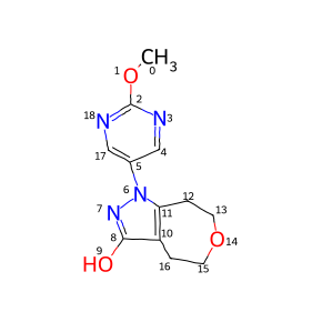 COc1ncc(-n2nc(O)c3c2CCOCC3)cn1